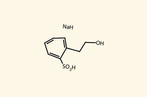 O=S(=O)(O)c1ccccc1CCO.[NaH]